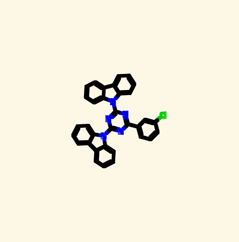 Clc1cccc(-c2nc(-n3c4ccccc4c4ccccc43)nc(-n3c4ccccc4c4ccccc43)n2)c1